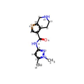 Cn1nc(NC(=O)c2csc3c2CCNC3)cc1C(C)(C)C